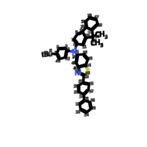 CC(C)(C)c1ccc(N(c2ccc3c(c2)C(C)(C)c2ccccc2-3)c2ccc3sc(-c4ccc(-c5ccccc5)cc4)nc3c2)cc1